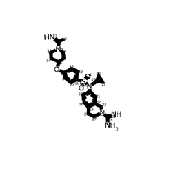 CC(=N)N1CCC(Oc2ccc(S(=O)(=O)N(c3ccc4c(c3)CN(C(=N)N)CC4)C3CC3)cc2)CC1